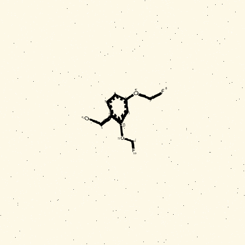 [O]Cc1ccc(OCF)cc1OCF